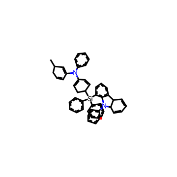 CC1C=C(N(C2=CCC([Si](c3ccccc3)(c3ccccc3)c3cccc4c3N(c3ccccc3)C3C=CC=CC43)C=C2)c2ccccc2)C=CC1